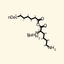 CCCCCCCCCCCCCCCC(=O)OC(=O)C(N)CCCCN.[NaH]